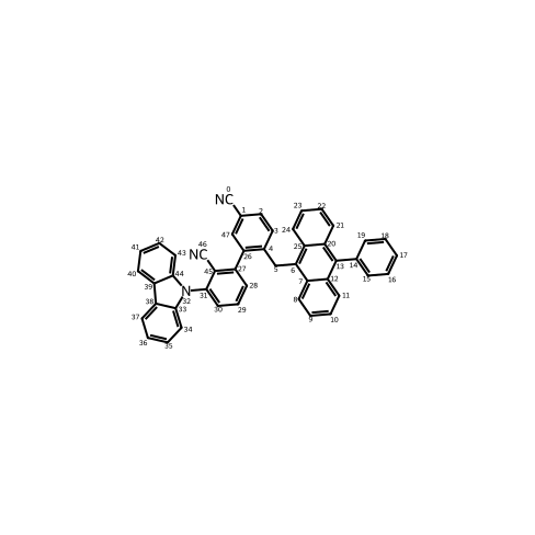 N#Cc1ccc(Cc2c3ccccc3c(-c3ccccc3)c3ccccc23)c(-c2cccc(-n3c4ccccc4c4ccccc43)c2C#N)c1